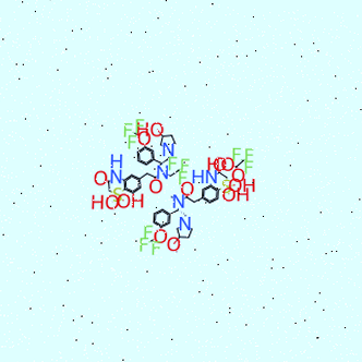 COC1CCN(C[C@H](c2cccc(OC(F)(F)F)c2)N(C)C(=O)Cc2ccc3c(c2)NC(=O)CS3(O)O)C1.O=C(O)C(F)(F)F.O=C1CS(O)(O)c2ccc(CC(=O)N(CC(F)(F)F)[C@H](CN3CCC(O)C3)c3cccc(OC(F)(F)F)c3)cc2N1